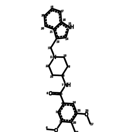 COc1cc(C(=O)NC2CCN(Cc3c[nH]c4ccccc34)CC2)cc(OC)c1C